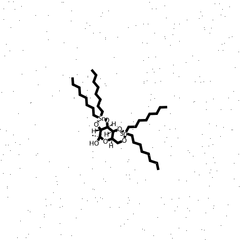 CCCCCCC[CH2][Sn]1([CH2]CCCCCCC)[O]C[C@H]2O[C@@](C)(O)[C@@H]3[O][Sn]([CH2]CCCCCCC)([CH2]CCCCCCC)[O][C@H]3[C@H]2[O]1